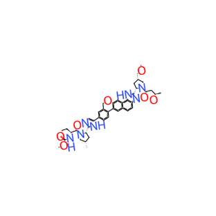 CC[C@H](NC(=O)OC)C(=O)N1C[C@@H](C)C[C@H]1c1ncc(-c2ccc3c(c2)COc2cc4c(ccc5nc([C@@H]6C[C@H](COC)CN6C(=O)C[C@@H](C)OC)[nH]c54)cc2-3)[nH]1